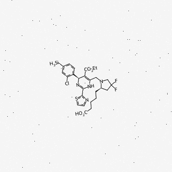 CCOC(=O)C1=C(CN2CC(F)(F)C[C@H]2CCCCC(=O)O)NC(c2nccs2)=N[C@H]1c1ccc([SiH3])cc1Cl